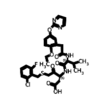 CCOc1ccc(Oc2ncccn2)cc1CC(=O)N[C@H](C(=O)N[C@@H](CC(=O)O)C(=O)CSCc1c(F)cccc1Cl)C(C)C